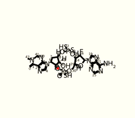 C=C1c2ncn([C@@H]3C[C@@H]4OP(=S)(S)O[C@H]5[C@@H](F)[C@H](n6cnc7c(N)ncnc76)O[C@@H]5COP(=O)(S)O[C@@H]3[C@@H]4O)c2N=CN1C